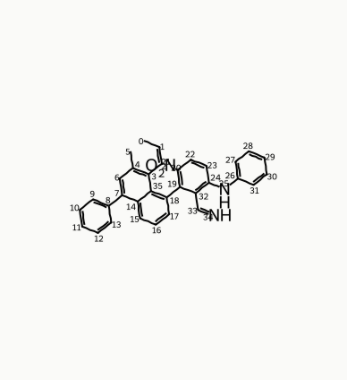 C/C=C\c1c(C)cc(-c2ccccc2)c2cccc(-c3c([N+](=O)[O-])ccc(Nc4ccccc4)c3C=N)c12